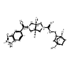 O=C(OCC1C[C@H]2CC[C@@H]1C2)N1C[C@@H]2CN(C(=O)c3ccc4[nH]nnc4c3)C[C@@H]2C1